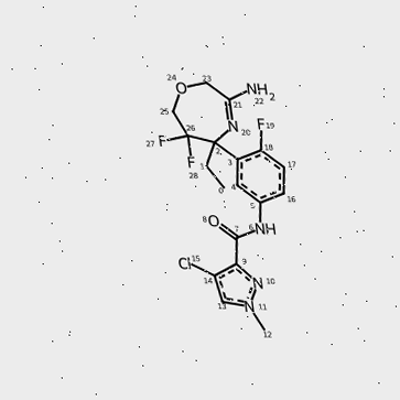 CCC1(c2cc(NC(=O)c3nn(C)cc3Cl)ccc2F)N=C(N)COCC1(F)F